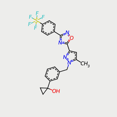 Cc1cc(-c2nc(-c3ccc(S(F)(F)(F)(F)F)cc3)no2)nn1Cc1cccc(C2(O)CC2)c1